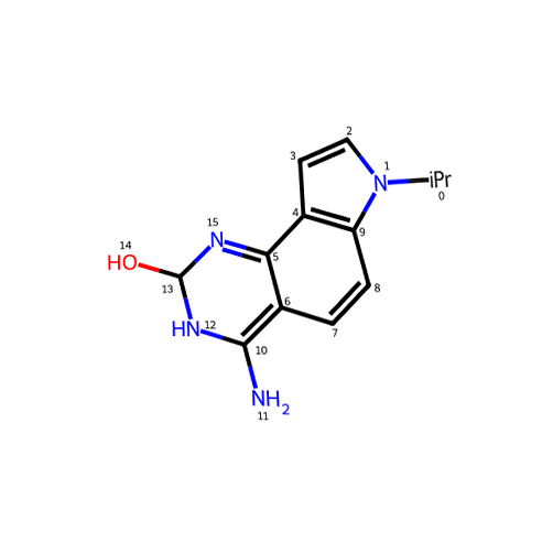 CC(C)n1ccc2c3c(ccc21)=C(N)NC(O)N=3